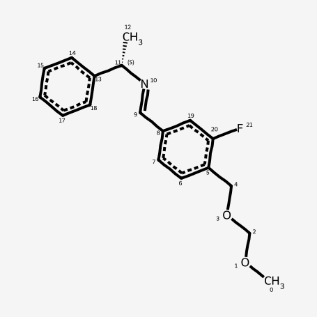 COCOCc1ccc(C=N[C@@H](C)c2ccccc2)cc1F